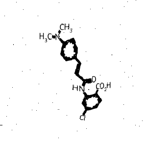 CN(C)c1ccc(/C=C/C(=O)Nc2cc(Cl)ccc2C(=O)O)cc1